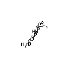 Cc1c(COc2ccc(CNCCOCCOCCOCCOCCC(N)=O)cn2)cccc1-c1ccccc1